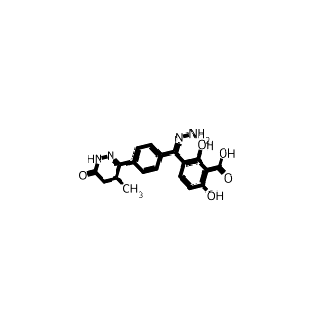 CC1CC(=O)NN=C1c1ccc(C(=NN)c2ccc(O)c(C(=O)O)c2O)cc1